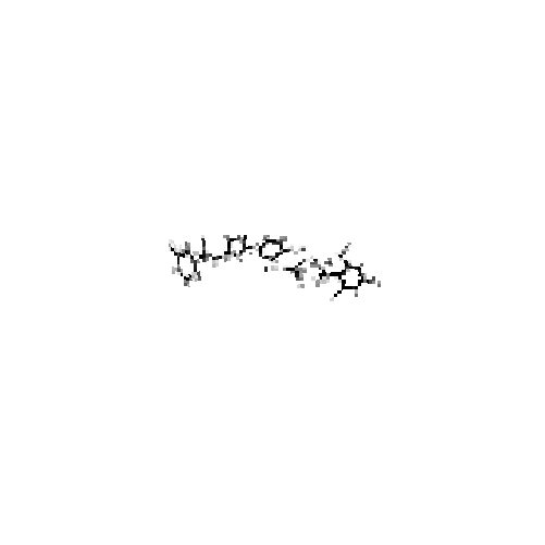 CCc1cc(F)cc(C)c1C(=O)N[C@@H](Cc1ccc(-c2cc(CNc3cc(C)ccn3)co2)cc1)C(=O)O